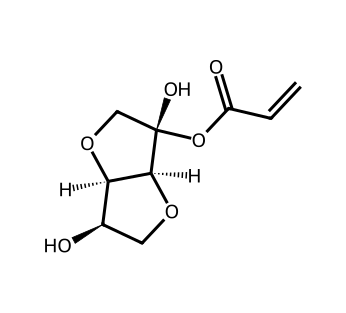 C=CC(=O)O[C@@]1(O)CO[C@@H]2[C@H](O)CO[C@@H]21